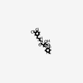 Cc1ccc(N2CC(C(=O)NCCCc3ccc(Cl)c(Cl)c3)=C(O)C2=O)c(F)c1